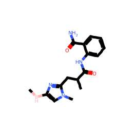 CBc1cn(C)c(CC(C)C(=O)Nc2ccccc2C(N)=O)n1